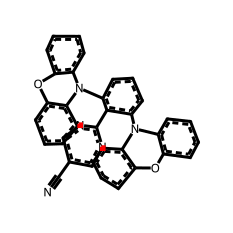 N#Cc1cnc(-c2c(N3c4ccccc4Oc4ccccc43)cccc2N2c3ccccc3Oc3ccccc32)nc1